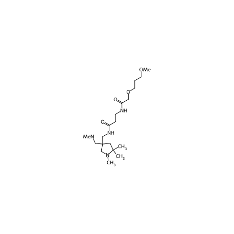 CNCC1(CNC(=O)CCNC(=O)COCCCOC)CN(C)C(C)(C)C1